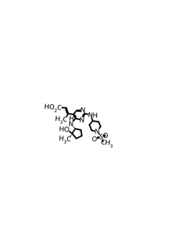 C/C(=C\C(=O)O)c1cnc(NC2CCN(S(C)(=O)=O)CC2)nc1N[C@@H]1CCC[C@@]1(C)O